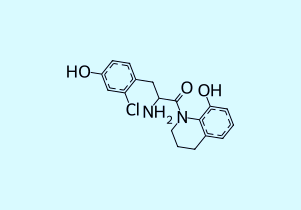 NC(Cc1ccc(O)cc1Cl)C(=O)N1CCCc2cccc(O)c21